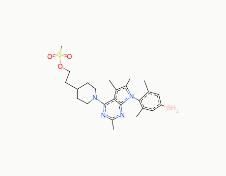 Bc1cc(C)c(-n2c(C)c(C)c3c(N4CCC(CCOS(C)(=O)=O)CC4)nc(C)nc32)c(C)c1